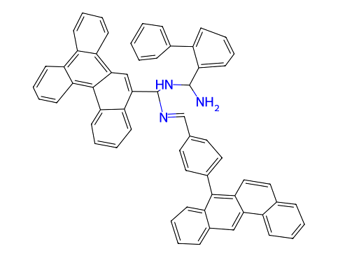 NC(NC(/N=C/c1ccc(-c2c3ccccc3cc3c2ccc2ccccc23)cc1)c1cc2c3ccccc3c3ccccc3c2c2ccccc12)c1ccccc1-c1ccccc1